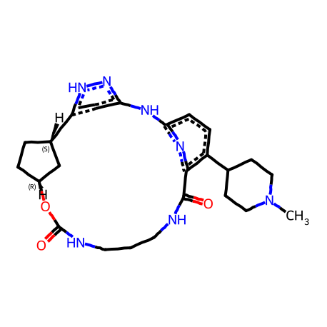 CN1CCC(c2ccc3nc2C(=O)NCCCNC(=O)O[C@@H]2CC[C@@H](C2)c2cc(n[nH]2)N3)CC1